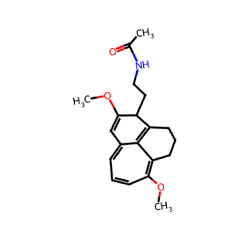 COC1=CC2=CC=CC(OC)=C3CCCC(=C23)C1CCNC(C)=O